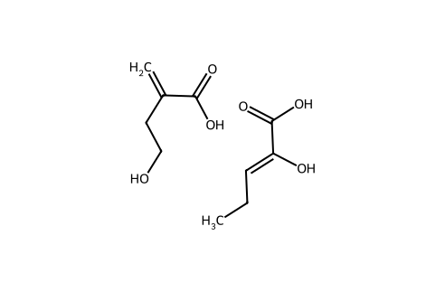 C=C(CCO)C(=O)O.CC/C=C(\O)C(=O)O